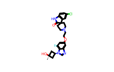 C[C@]1(O)C[C@@H](n2cnc3cc(OCCN4CCC5(CC4)C(=O)Nc4ccc(Cl)cc45)cc(F)c32)C1